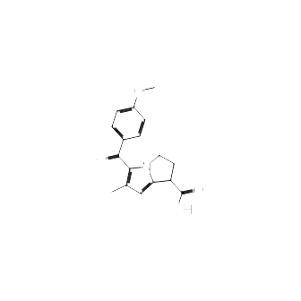 COc1ccc(C(=O)c2c(C)cc3n2CCC3C(=O)O)cc1